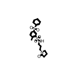 Cc1ccc(S(=O)(=O)c2ccccc2)cc1S(=O)(=O)NCCCN1CCCC1=O